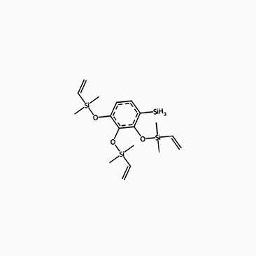 C=C[Si](C)(C)Oc1ccc([SiH3])c(O[Si](C)(C)C=C)c1O[Si](C)(C)C=C